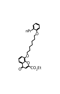 CCCc1ccccc1OCCCCCCCOc1cccc2c(=O)cc(C(=O)OCC)oc12